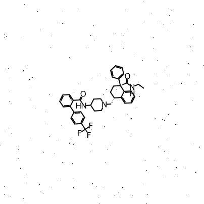 CCNC(=O)[C@]1(c2ccccc2)CC[C@@H](CN2CCC(NC(=O)c3ccccc3-c3ccc(C(F)(F)F)cc3)CC2)c2ccccc21